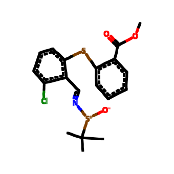 COC(=O)c1ccccc1Sc1cccc(Cl)c1/C=N/[S+]([O-])C(C)(C)C